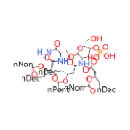 CCCCCCCCCCC[C@H](CC(=O)N[C@H]1[C@@H](OC[C@H](NC(=O)C[C@@H](CCCCCCCCCCC)OC(=O)CCCCCCCCC)C(N)=O)O[C@H](CO)[C@@H](OP(=O)(O)O)[C@@H]1OC(=O)C[C@@H](CCCCCCCCCCC)OC(=O)CCCCCCCCC)OC(=O)CCCCC